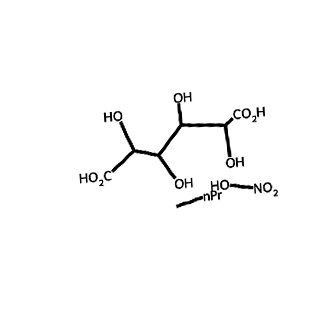 CCCC.O=C(O)C(O)C(O)C(O)C(O)C(=O)O.O=[N+]([O-])O